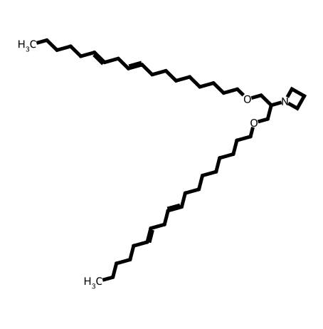 CCCCCC=CCC=CCCCCCCCCOCC(COCCCCCCCCC=CCC=CCCCCC)N1CCC1